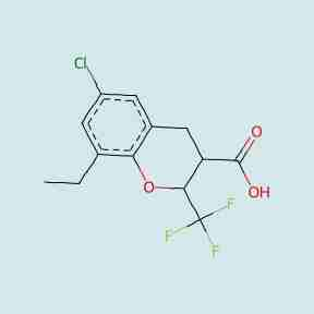 CCc1cc(Cl)cc2c1OC(C(F)(F)F)C(C(=O)O)C2